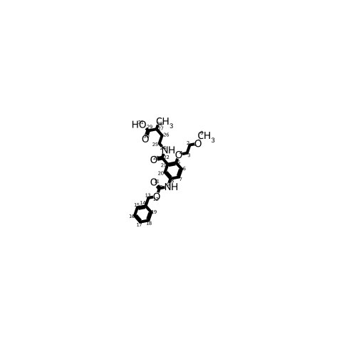 COCCOc1ccc(NC(=O)OCc2ccccc2)cc1C(=O)NCCC(C)C(=O)O